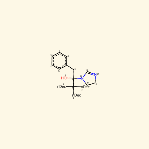 CCCCCCCCCCC(CCCCCCCCCC)(CCCCCCCCCC)C(O)(Cc1ccccc1)N1C=NCC1